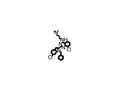 CN(C)CCCNc1nc(-c2cc3ccc(Cl)cc3n2Cc2ccccc2)nc2c(Cl)cccc12